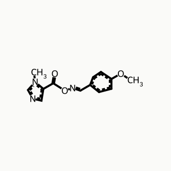 COc1ccc(C=NOC(=O)c2cncn2C)cc1